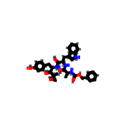 CC(NC(=O)OCc1ccccc1)C(=O)NC(Cc1c[nH]c2ccccc12)C(=O)NC(Cc1ccc(O)cc1)C(=O)C1(C)CO1